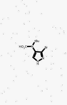 CC(C)(C)N(C(=O)O)c1c[nH]nc1Br